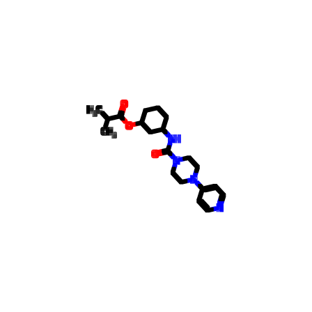 CC(C)C(=O)OC1CCCC(NC(=O)N2CCN(c3ccncc3)CC2)C1